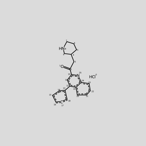 Cl.O=C(CC1CCCNC1)c1cc(-c2ccccc2)c2ccccc2n1